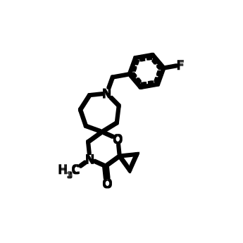 CN1CC2(CCCN(Cc3ccc(F)cc3)CC2)OC2(CC2)C1=O